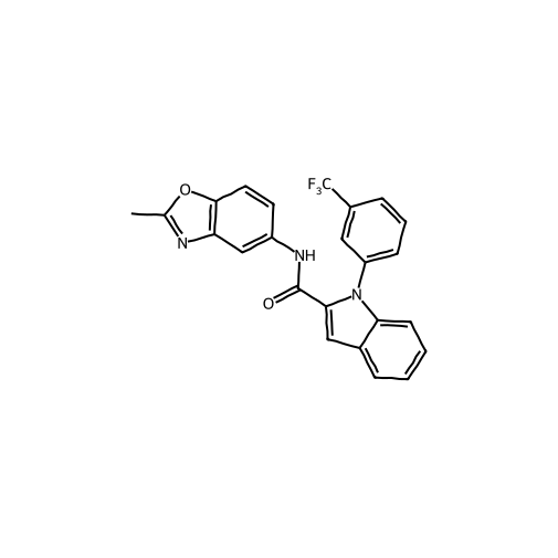 Cc1nc2cc(NC(=O)c3cc4ccccc4n3-c3cccc(C(F)(F)F)c3)ccc2o1